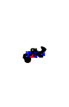 C[C@H](NC(=O)N1CCCc2ccccc21)c1nc(-c2ccnc(C3CC3)c2)no1